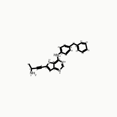 CC(N)C#Cc1cc2ncnc(Nc3ccc(Cc4ccccc4)cc3)c2s1